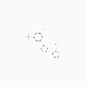 Cn1cnc([N+](=O)[O-])c1-n1ncc(-c2cc(C(F)(F)F)cc(C(F)(F)F)c2)n1